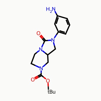 CC(C)(C)OC(=O)N1CCN2C(=O)N(c3cccc(N)c3)CC2C1